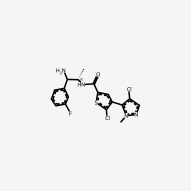 C[C@H](NC(=O)c1cc(-c2c(Cl)cnn2C)c(Cl)s1)C(N)c1cccc(F)c1